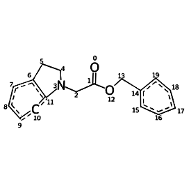 O=C(CN1CCc2ccccc21)OCc1ccccc1